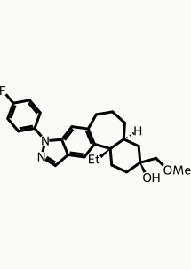 CC[C@]12CC[C@@](O)(COC)C[C@@H]1CCCc1cc3c(cnn3-c3ccc(F)cc3)cc12